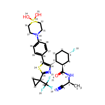 C[C@@H](C#N)NC(=O)[C@@H]1C[C@@H](F)CC[C@H]1c1nc(C2(C(F)(F)F)CC2)sc1-c1ccc(N2CCS(O)(O)CC2)cc1